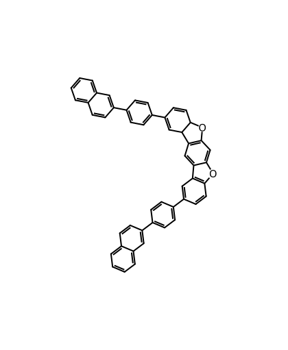 C1=CC2Oc3cc4oc5ccc(-c6ccc(-c7ccc8ccccc8c7)cc6)cc5c4cc3C2C=C1c1ccc(-c2ccc3ccccc3c2)cc1